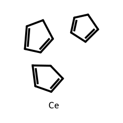 C1=CCC=C1.C1=CCC=C1.C1=CCC=C1.[Ce]